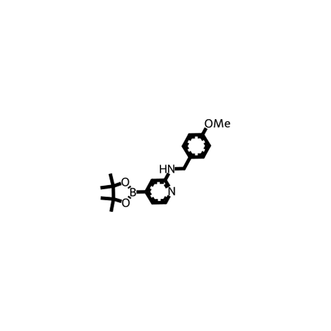 COc1ccc(CNc2cc(B3OC(C)(C)C(C)(C)O3)ccn2)cc1